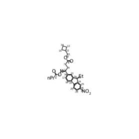 CCCC(=O)O/N=C(/CCC(=O)OCC1CCC1)c1ccc2c(c1)C(CC)c1cc([N+](=O)[O-])ccc1-2